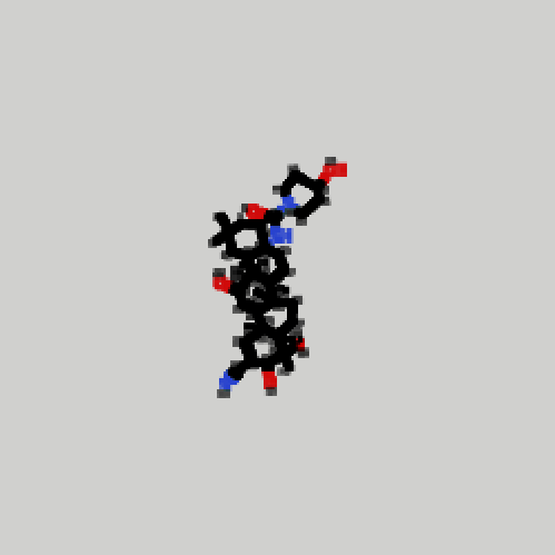 CC1(C)CC[C@]2(NC(=O)N3CCC(O)CC3)CC[C@]3(C)[C@H](C(=O)C=C4[C@@]5(C)C=C(C#N)C(=O)C(C)(C)[C@@H]5CC[C@]43C)[C@@H]2C1